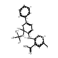 Cc1cc(C(=O)O)c(NC2=CC=C(c3ccccc3)CC2(F)OC(F)(F)F)cn1